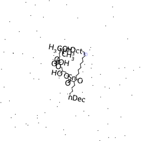 CCCCCCCC/C=C\CCCCCCCC(=O)C(CCCCCCCCCCCCCC)[C](=O)[Sn][O]CC(O)COP(=O)(O)OCC[N+](C)(C)C